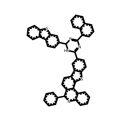 c1ccc(-c2nc3ccccc3c3c2ccc2c4cc(C5=NC(c6cccc7ccccc67)=NC(c6ccc7c(c6)sc6ccccc67)N5)ccc4sc23)cc1